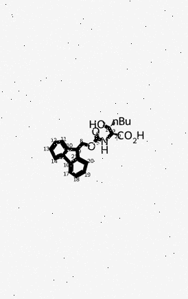 CCCC[C@@H](O)[C@H](NC(=O)OCC1c2ccccc2-c2ccccc21)C(=O)O